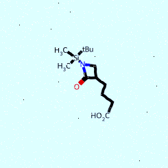 CC(C)(C)[Si](C)(C)N1CC(CCCC(=O)O)C1=O